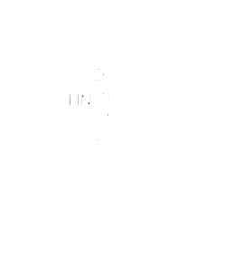 CCc1ccc(S(=O)(=O)NC2C3CCC2Cc2ccccc2C3)cc1